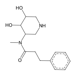 CN(C(=O)CCc1ccccc1)C1CNCC(O)C1O